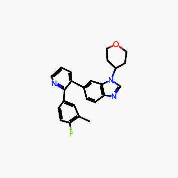 Cc1cc(-c2ncccc2-c2ccc3ncn(C4CCOCC4)c3c2)ccc1F